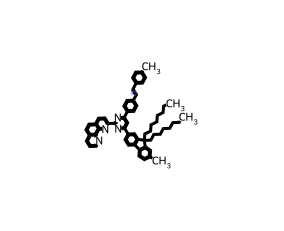 CCCCCCCCC1(CCCCCCCC)c2cc(C)ccc2-c2ccc(-c3cc(-c4ccc(/C=C/c5ccc(C)cc5)cc4)nc(-c4ccc5ccc6cccnc6c5n4)n3)cc21